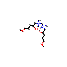 COCCCC(O)C[N+](C)(C)C[N+](C)(C)CC(O)CCCOC